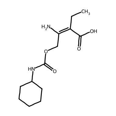 CCC(C(=O)O)=C(N)COC(=O)NC1CCCCC1